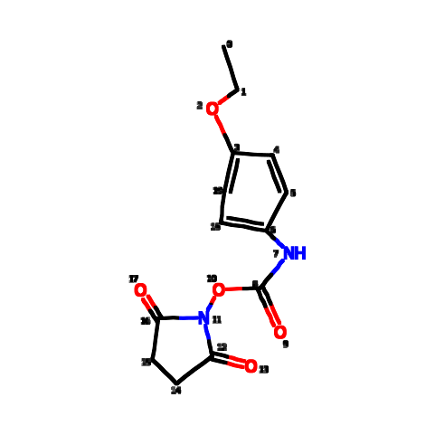 CCOc1ccc(NC(=O)ON2C(=O)CCC2=O)cc1